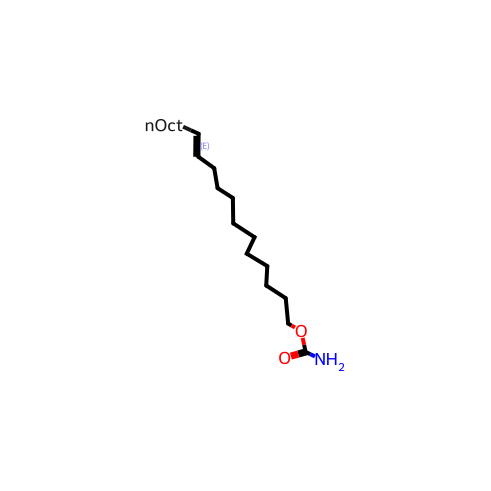 CCCCCCCC/C=C/CCCCCCCCCCOC(N)=O